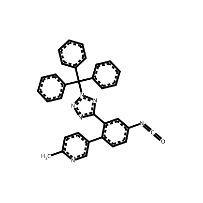 Cc1ccc(-c2ccc(N=C=O)cc2-c2nnn(C(c3ccccc3)(c3ccccc3)c3ccccc3)n2)cn1